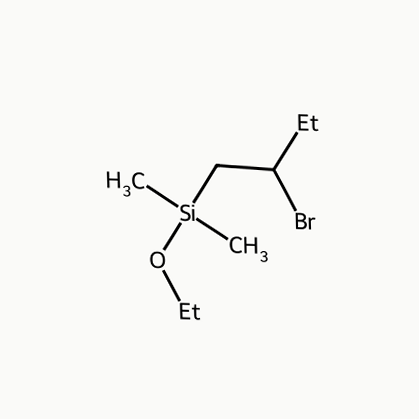 CCO[Si](C)(C)CC(Br)CC